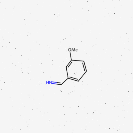 COc1cccc(C=N)c1